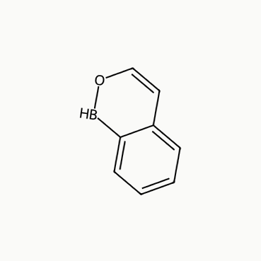 B1OC=Cc2ccccc21